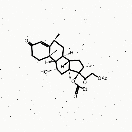 CCC(=O)O[C@]1(C(=O)COC(C)=O)[C@@H](C)C[C@H]2[C@@H]3C[C@H](C)C4=CC(=O)CC[C@]4(C)[C@H]3[C@@H](O)C[C@@]21C